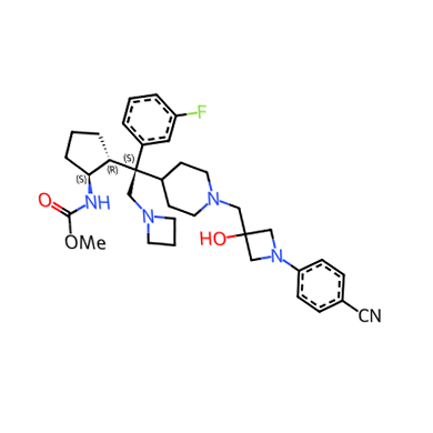 COC(=O)N[C@H]1CCC[C@@H]1[C@](CN1CCC1)(c1cccc(F)c1)C1CCN(CC2(O)CN(c3ccc(C#N)cc3)C2)CC1